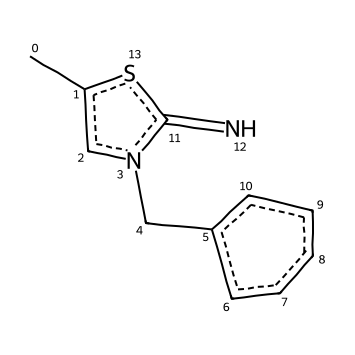 Cc1cn(Cc2ccccc2)c(=N)s1